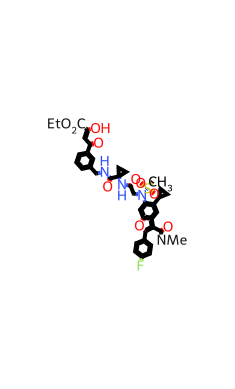 CCOC(=O)/C(O)=C/C(=O)c1cccc(CNC(=O)C2(NC(=O)CN(c3cc4oc(-c5ccc(F)cc5)c(C(=O)NC)c4cc3C3CC3)S(C)(=O)=O)CC2)c1